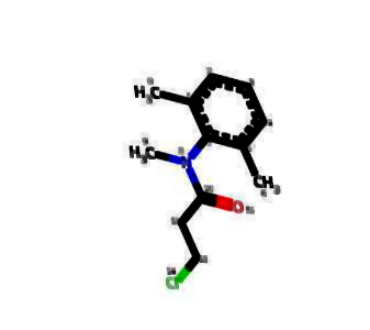 Cc1cccc(C)c1N(C)C(=O)CCCl